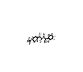 N=C(NC(=S)Nc1[c]cc(C(F)(F)F)cn1)c1ccccn1